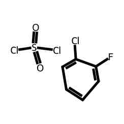 Fc1ccccc1Cl.O=S(=O)(Cl)Cl